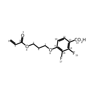 C=CC(=O)OCCCOc1ccc(C(=O)O)c(F)c1F